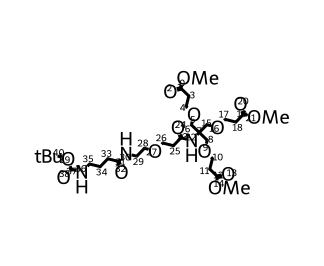 COC(=O)CCOCC(COCCC(=O)OC)(COCCC(=O)OC)NC(=O)CCOCCNC(=O)CCCNC(=O)OC(C)(C)C